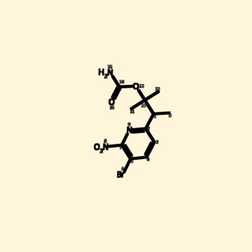 CC(c1ccc(Br)c([N+](=O)[O-])n1)C(C)(C)OC(N)=O